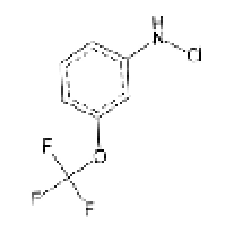 FC(F)(F)Oc1cccc(NCl)c1